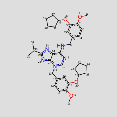 COc1ccc(CNc2ncn(Cc3ccc(OC)c(OC4CCCC4)c3)c3nc(C(C)C)nc2-3)cc1OC1CCCC1